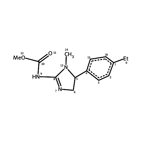 CCc1ccc(C2CN=C(NC(=O)OC)N2C)cc1